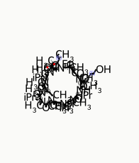 C/C=C/C[C@@H](C)[C@@H](O)[C@@H]1C(=O)N[C@@H](CC)C(=O)N(C)CC(=O)N(C)[C@@H]([C@@H](C)OC/C=C/CO)C(=O)N[C@@H](C(C)C)C(=O)N(C)[C@@H](CC(C)C)C(=O)N[C@@H](C)C(=O)N2C(C)C[C@@H](C(=O)N(C)[C@@H](C(C)C)C(=O)N1C)N(C)C(=O)[C@H](CC(C)C)N(C)C(=O)[C@H]2C